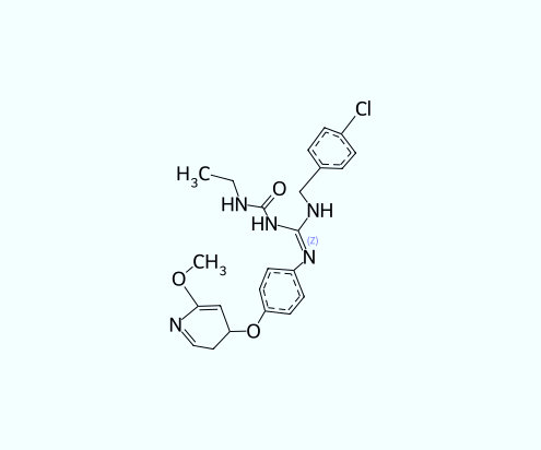 CCNC(=O)N/C(=N\c1ccc(OC2C=C(OC)N=CC2)cc1)NCc1ccc(Cl)cc1